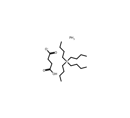 CCCC[P+](CCCC)(CCCC)CCCC.O=C([O-])CCC(=O)O.P